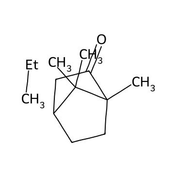 CC12CCC(CC1=O)C2(C)C.CCC